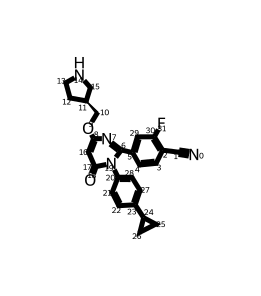 N#Cc1ccc(-c2nc(OC[C@H]3CCNC3)cc(=O)n2-c2ccc(C3CC3)cc2)cc1F